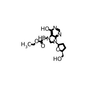 CCOC(=O)BN1CN([C@H]2CC[C@@H](CO)O2)c2ncnc(O)c21